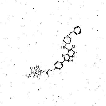 CN(C)C(C)(C)CNC(=O)COc1ccc(-c2nc3c(NC4CCN(Cc5ccccc5)CC4)c(Cl)cnc3[nH]2)cc1